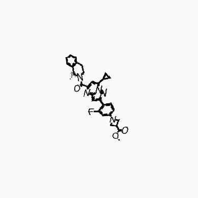 COC(=O)C1CN(c2ccc(-c3cc4nc(C(=O)N5CCc6ccccc6[C@H]5C)cc(C5CC5)n4n3)c(F)c2)C1